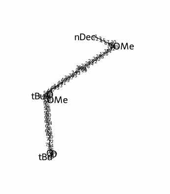 CCCCCCCCCCCCCCCCCC[C@H](C)[C@@H](CCCCCCCCCCCCCCCC[C@H](C)C1CC1CCCCCCCCC=CCCCCCCCC[C@H]([C@@H](CCCCCCCCCCCCCCCCCCCCCCCCOC(=O)C(C)(C)C)C(=O)OC)C(C)(C)C)OC